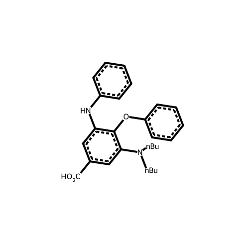 CCCCN(CCCC)c1cc(C(=O)O)cc(Nc2ccccc2)c1Oc1ccccc1